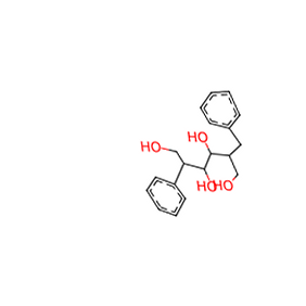 OCC(Cc1ccccc1)C(O)C(O)C(CO)c1ccccc1